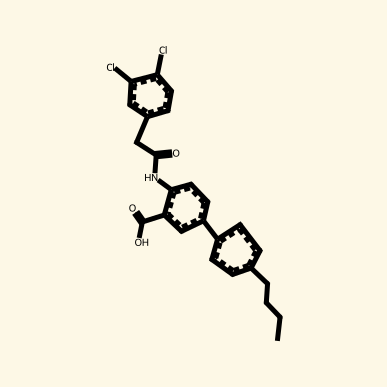 CCCCc1ccc(-c2ccc(NC(=O)Cc3ccc(Cl)c(Cl)c3)c(C(=O)O)c2)cc1